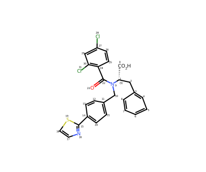 O=C(O)[C@H](Cc1ccccc1)N(Cc1ccc(-c2nccs2)cc1)C(=O)c1ccc(Cl)cc1Cl